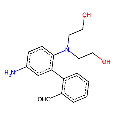 Nc1ccc(N(CCO)CCO)c(-c2ccccc2C=O)c1